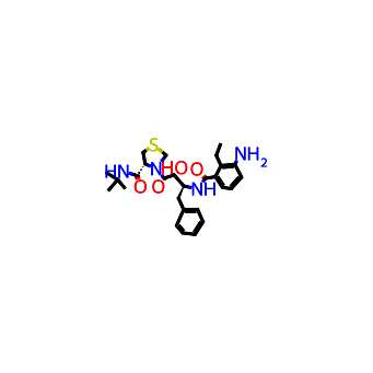 CCc1c(N)cccc1C(=O)N[C@@H](Cc1ccccc1)[C@H](O)C(=O)N1CSC[C@H]1C(=O)NC(C)(C)C